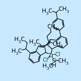 CCCC(C)C1=Cc2c(C(C)CC)cccc2[CH]1[Zr]([Cl])([Cl])([CH]1C(CC)=Cc2c(-c3ccc(C(C)C)cc3)cccc21)[SiH](C)C